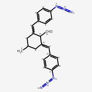 CC1CC(=Cc2ccc(N=[N+]=[N-])cc2)C(C=O)C(=Cc2ccc(N=[N+]=[N-])cc2)C1